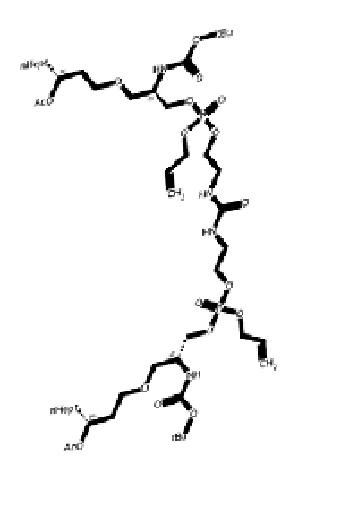 C=CCOP(=O)(OCCNC(=O)NCCOP(=O)(OCC=C)OC[C@@H](COCC[C@@H](CCCCCCC)OC(C)=O)NC(=O)OC(C)(C)C)OC[C@@H](COCC[C@@H](CCCCCCC)OC(C)=O)NC(=O)OC(C)(C)C